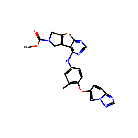 Cc1cc(Nc2ncnc3sc4c(c23)CN(C(=O)OC(C)(C)C)C4)ccc1Oc1ccc2ncnn2c1